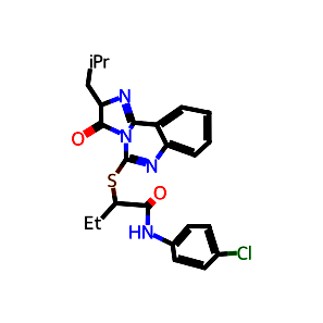 CCC(SC1=Nc2ccccc2C2=NC(CC(C)C)C(=O)N12)C(=O)Nc1ccc(Cl)cc1